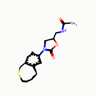 CC(=O)NCC1CN(c2ccc3c(c2)CCCSC3)C(=O)O1